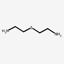 NCCSCCN